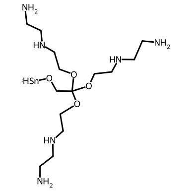 NCCNCCOC(C[O][SnH])(OCCNCCN)OCCNCCN